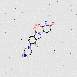 O=C1CCC(N2Cc3c(ccc(N4CCNCC4)c3F)C2=O)C(O)N1